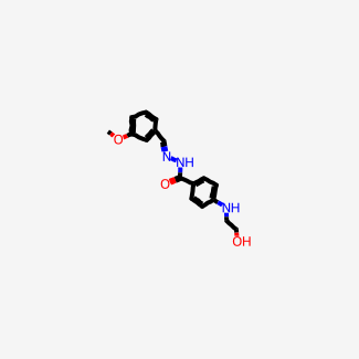 COc1cccc(/C=N/NC(=O)c2ccc(NCCO)cc2)c1